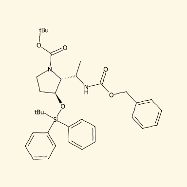 CC(NC(=O)OCc1ccccc1)[C@@H]1[C@@H](O[Si](c2ccccc2)(c2ccccc2)C(C)(C)C)CCN1C(=O)OC(C)(C)C